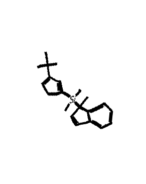 CC(C)(C)C1=CCC([Si](C)(C)C2(C)C=Cc3ccccc32)=C1